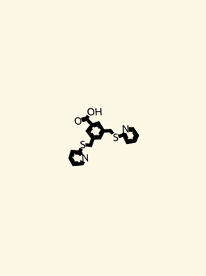 O=C(O)c1cc(CSc2ccccn2)cc(CSc2ccccn2)c1